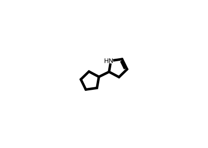 C1=CNC(C2CCCC2)C1